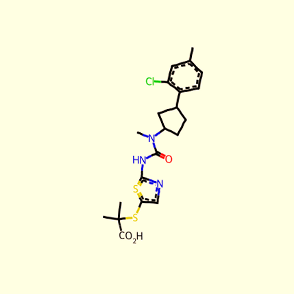 Cc1ccc(C2CCC(N(C)C(=O)Nc3ncc(SC(C)(C)C(=O)O)s3)C2)c(Cl)c1